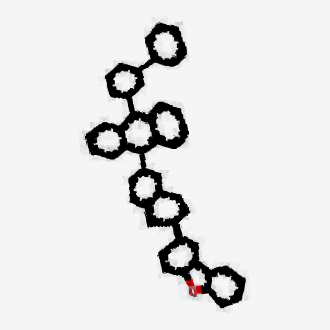 c1ccc(-c2cccc(-c3c4ccccc4c(-c4ccc5cc(-c6ccc7oc8ccccc8c7c6)ccc5c4)c4ccccc34)c2)cc1